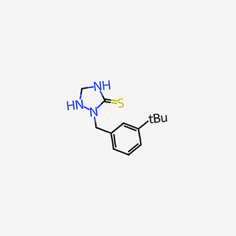 CC(C)(C)c1cccc(CN2NCNC2=S)c1